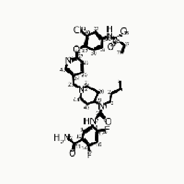 CCCCN(C(=O)Nc1cc(C(N)=O)c(F)cc1F)C1CCN(Cc2ccc(Oc3ccc(NS(=O)(=O)CC)cc3Cl)nc2)CC1